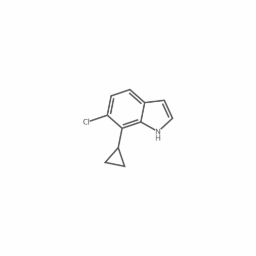 Clc1ccc2cc[nH]c2c1C1CC1